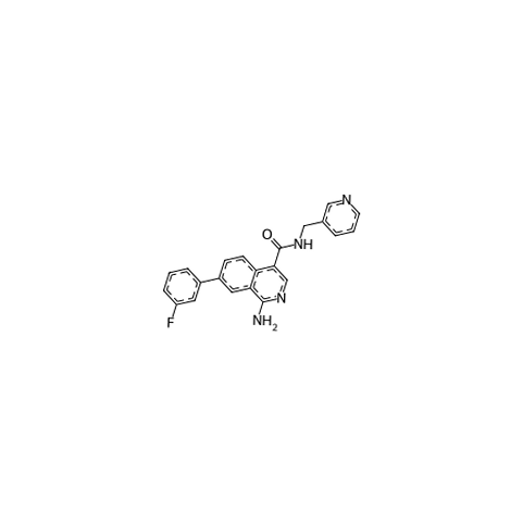 Nc1ncc(C(=O)NCc2cccnc2)c2ccc(-c3cccc(F)c3)cc12